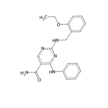 CCOc1ccccc1CNc1ncc(C(N)=O)c(Nc2ccccc2)n1